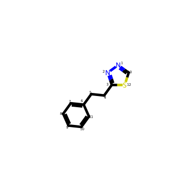 [c]1nnc(CCc2ccccc2)s1